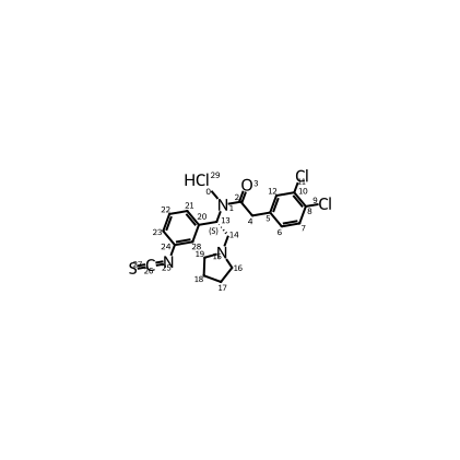 CN(C(=O)Cc1ccc(Cl)c(Cl)c1)[C@H](CN1CCCC1)c1cccc(N=C=S)c1.Cl